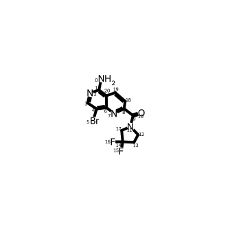 Nc1ncc(Br)c2nc(C(=O)N3CCC(F)(F)C3)ccc12